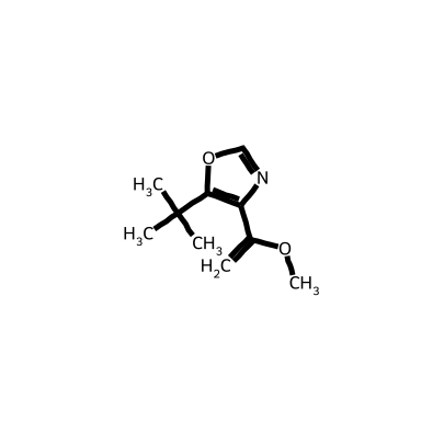 C=C(OC)c1ncoc1C(C)(C)C